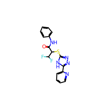 O=C(Nc1ccccc1)C(Sc1nnc(-c2ccccn2)[nH]1)C(F)F